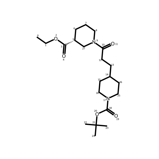 CCOC(=O)[C@@H]1CCCN(C(=O)CCC2CCN(C(=O)OC(C)(C)C)CC2)C1